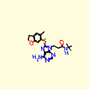 Cc1cc2c(cc1Sc1nc3c(N)ncnc3n1CCC(=O)NC(C)(C)C)OCC2